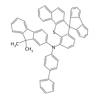 CC1(C)c2ccccc2-c2ccc(N(c3ccc(-c4ccccc4)cc3)c3cccc4c3Sc3c(ccc5ccccc35)C43c4ccccc4-c4ccccc43)cc21